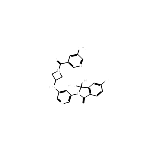 Cc1cncc(C(=O)N2CC(Nc3cncc(N4C(=O)c5ccc(Cl)cc5C4(C)C)c3)C2)c1